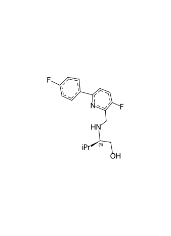 CC(C)[C@H](CO)NCc1nc(-c2ccc(F)cc2)ccc1F